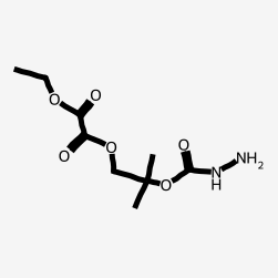 CCOC(=O)C(=O)OCC(C)(C)OC(=O)NN